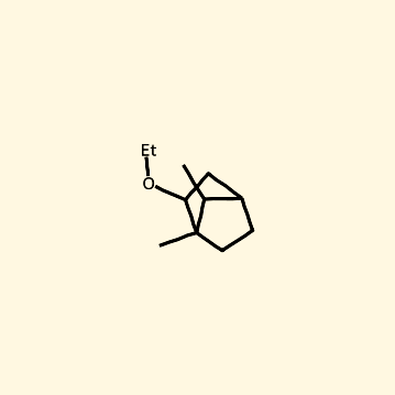 CCOC1CC2CCC1(C)C2C